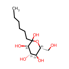 CCCCCCC1(O)O[C@H](CO)[C@@H](O)[C@H](O)[C@H]1O